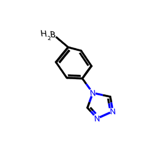 Bc1ccc(-n2cnnc2)cc1